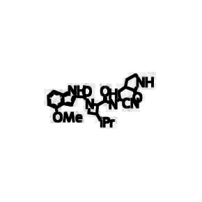 COc1cccc2[nH]c(C(=O)N3CC(C(C)C)C3C(=O)NC(C#N)CC3CCNC3=O)cc12